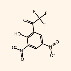 O=C(c1cc([N+](=O)[O-])cc([N+](=O)[O-])c1O)C(F)(F)F